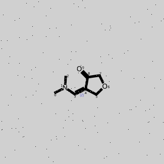 CN(C)/C=C1/COCC1=O